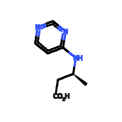 C[C@H](CC(=O)O)Nc1ccncn1